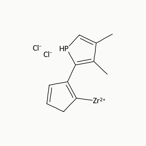 Cc1c[pH]c(C2=[C]([Zr+2])CC=C2)c1C.[Cl-].[Cl-]